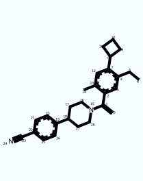 C=C(c1cc(CC)c(C2CCC2)cc1C)N1CCC(c2ccc(C#N)cc2)CC1